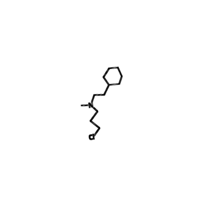 CN(CCCCl)CCC1CCCCC1